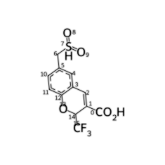 O=C(O)C1=Cc2cc(C[SH](=O)=O)ccc2OC1C(F)(F)F